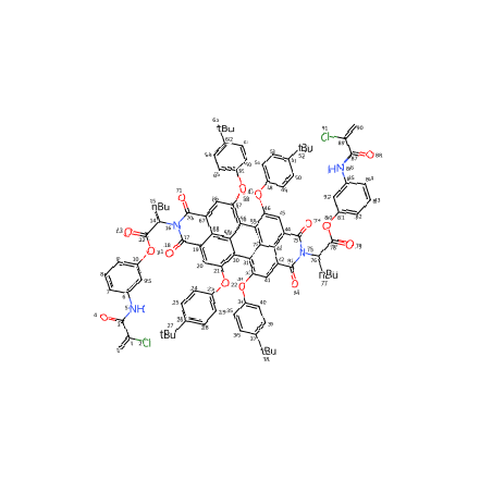 C=C(Cl)C(=O)Nc1cccc(OC(=O)C(CCCC)N2C(=O)c3cc(Oc4ccc(C(C)(C)C)cc4)c4c5c(Oc6ccc(C(C)(C)C)cc6)cc6c7c(cc(Oc8ccc(C(C)(C)C)cc8)c(c8c(Oc9ccc(C(C)(C)C)cc9)cc(c3c48)C2=O)c75)C(=O)N(C(CCCC)C(=O)Oc2cccc(NC(=O)C(=C)Cl)c2)C6=O)c1